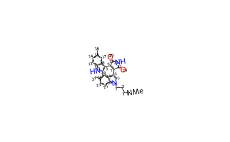 CNCCCn1cc(C2=C(c3c[nH]c4ccc(C)cc34)C(=O)NC2=O)c2cc(C)ccc21